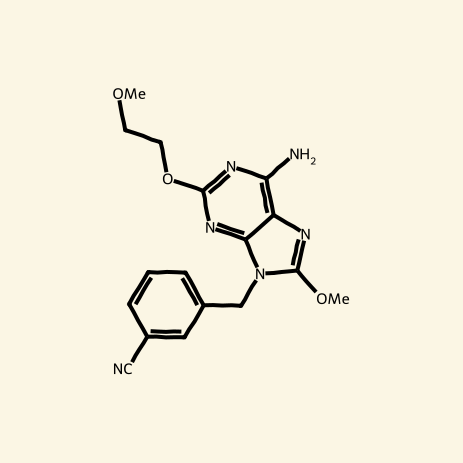 COCCOc1nc(N)c2nc(OC)n(Cc3cccc(C#N)c3)c2n1